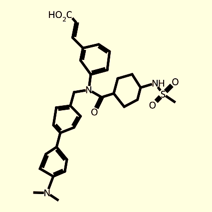 CN(C)c1ccc(-c2ccc(CN(C(=O)C3CCC(NS(C)(=O)=O)CC3)c3cccc(/C=C/C(=O)O)c3)cc2)cc1